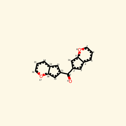 O=C(c1cc2cccoc-2c1)c1cc2cccoc-2c1